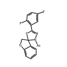 CC(=O)N1N=C(c2cc(F)ccc2F)SC12COc1ccccc12